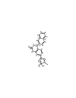 CC1OB(c2ccc3c(c2)CN(C)CC3c2ccc3ccccc3c2)OC1(C)C